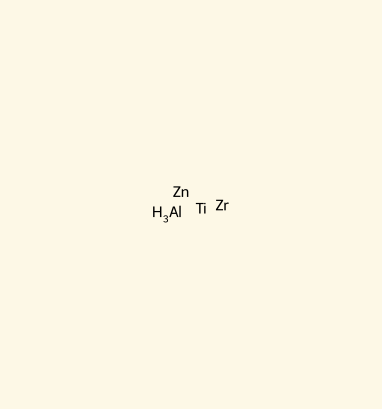 [AlH3].[Ti].[Zn].[Zr]